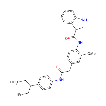 COc1cc(CC(=O)Nc2ccc(C(CC(=O)O)CC(C)C)cc2)ccc1NC(=O)C1CNc2ccccc21